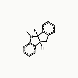 CN1c2ccccc2[C@H]2Cc3ccccc3[C@H]21